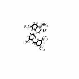 CC[C@@H]1C[C@H](c2ncc(Br)c(Cc3cc(C(F)(F)F)cc(C(F)(F)F)c3)n2)c2cc(C(F)(F)F)ccc2N1N